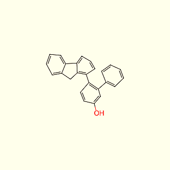 Oc1ccc(-c2cccc3c2Cc2ccccc2-3)c(-c2ccccc2)c1